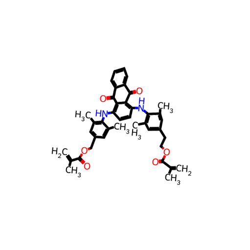 C=C(C)C(=O)OCCc1cc(C)c(Nc2ccc(Nc3c(C)cc(COC(=O)C(=C)C)cc3C)c3c2C(=O)c2ccccc2C3=O)c(C)c1